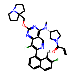 C=CC(=O)N1CC[C@@H](N(C)c2nc(OCC34CCCN3CCC4)nc3c(F)c(-c4cccc5ccc(F)c(CC)c45)ncc23)C1